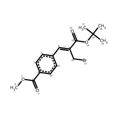 COC(=O)c1ccc(/C=C(\CBr)C(=O)OC(C)(C)C)cc1